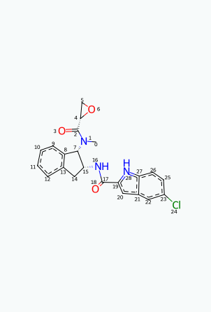 CN(C(=O)[C@@H]1CO1)[C@H]1c2ccccc2C[C@H]1NC(=O)c1cc2cc(Cl)ccc2[nH]1